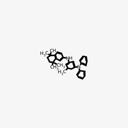 CC1C=C(Nc2ccc3c(c2)C(C)(C)CCC3(C)C)C=C(N(c2ccccc2)c2ccccc2)C1